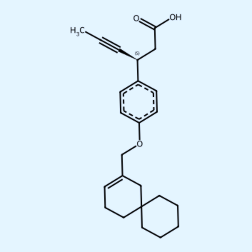 CC#C[C@@H](CC(=O)O)c1ccc(OCC2=CCCC3(CCCCC3)C2)cc1